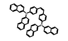 C(=C/c1ccc(N(c2ccc3ccccc3c2)c2ccc3ccccc3c2)cc1)/c1ccc(N(c2ccc3ccccc3c2)c2ccc3ccccc3c2)cc1